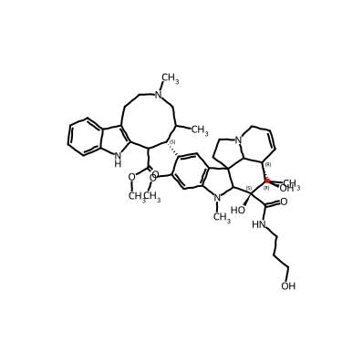 CC[C@]12C=CCN3CCC4(c5cc([C@H]6C(C)CN(C)CCc7c([nH]c8ccccc78)C6C(=O)OC)c(OC)cc5N(C)C4[C@@](O)(C(=O)NCCCO)[C@@H]1O)C32